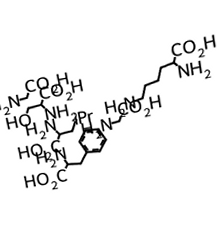 CC(C)CC(N)C(=O)O.NC(CO)C(=O)O.NC(Cc1ccccc1)C(=O)O.NCC(=O)O.NCC(=O)O.NCCCCC(N)C(=O)O